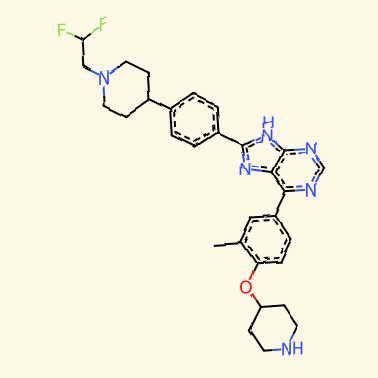 Cc1cc(-c2ncnc3[nH]c(-c4ccc(C5CCN(CC(F)F)CC5)cc4)nc23)ccc1OC1CCNCC1